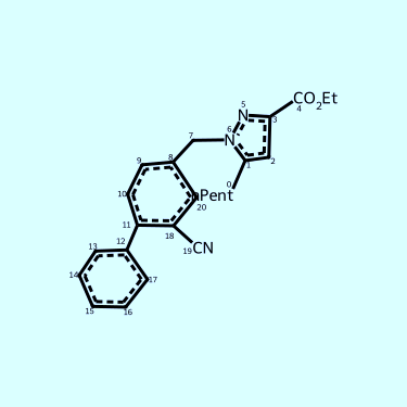 CCCCCc1cc(C(=O)OCC)nn1Cc1ccc(-c2ccccc2)c(C#N)c1